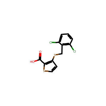 O=C(O)c1sccc1SCc1c(Cl)cccc1Cl